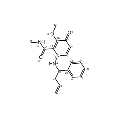 C=CCC(Nn1ccc(=O)c(OC)c1C(=O)NC)c1ccccc1